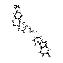 Cc1ccc2c3c(ccc2n1)OC[C@H](CNC[C@H]1CCc2c(sc4cc(F)ccc24)C1)O3